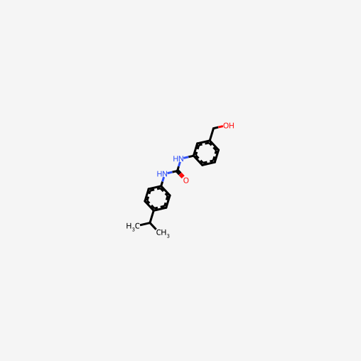 CC(C)c1ccc(NC(=O)Nc2cccc(CO)c2)cc1